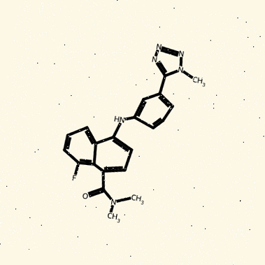 CN(C)C(=O)c1ccc(Nc2cccc(-c3nnnn3C)c2)c2cccc(F)c12